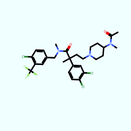 CC(=O)N(C)C1CCN(CCC(C)(C(=O)N(C)Cc2ccc(Cl)c(C(F)(F)F)c2)c2ccc(Cl)c(Cl)c2)CC1